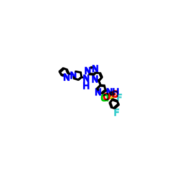 O=S(=O)(Nc1cc(-c2ccc3ncnc(NC4CCN(c5ccccn5)CC4)c3n2)cnc1Cl)c1ccc(F)cc1F